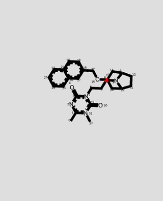 Cc1nc(=O)n(CCCN2C3CCC2CC(OCc2ccc4ccccc4c2)C3)c(=O)n1C